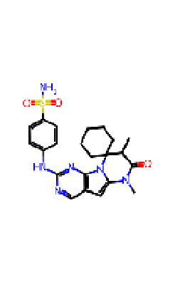 CC1C(=O)N(C)c2cc3cnc(Nc4ccc(S(N)(=O)=O)cc4)nc3n2C12CCCCC2